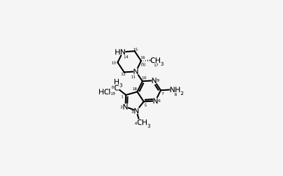 Cc1nn(C)c2nc(N)nc(N3CCNC[C@@H]3C)c12.Cl